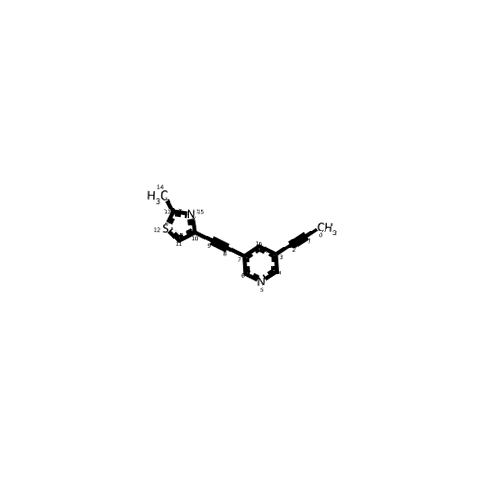 CC#Cc1cncc(C#Cc2csc(C)n2)c1